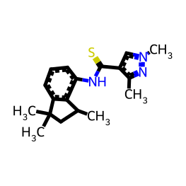 Cc1nn(C)cc1C(=S)Nc1cccc2c1C(C)CC2(C)C